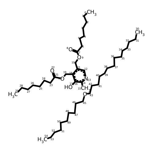 CCCCCCCC(=O)OCc1cnc(C)c(O)c1COC(=O)CCCCCCC.CCCCCCCCCCCCCCOCCCCCCCCCC